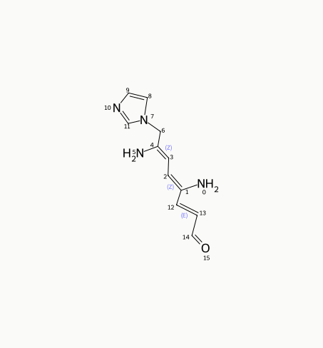 NC(=C\C=C(/N)Cn1ccnc1)/C=C/C=O